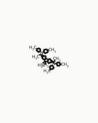 CCC1(CC)c2cc3c(cc2-c2cc4c(cc21)C4(CC)N(c1ccc(C)cc1)c1ccc(C)cc1)C3(CC)N(c1ccc(C)cc1)c1ccc(C)cc1